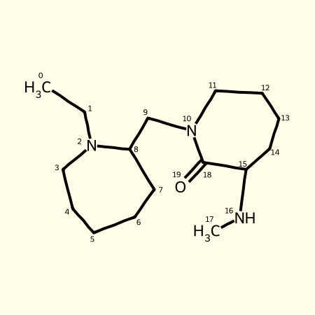 CCN1CCCCCC1CN1CCCCC(NC)C1=O